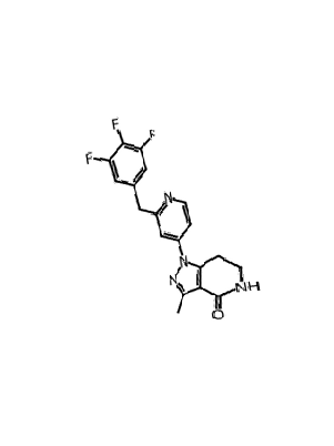 Cc1nn(-c2ccnc(Cc3cc(F)c(F)c(F)c3)c2)c2c1C(=O)NCC2